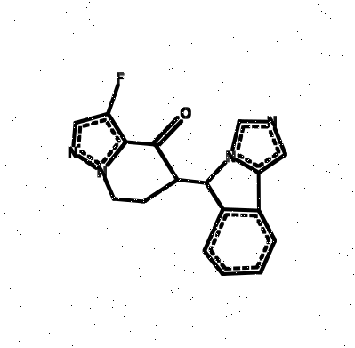 O=C1c2c(F)cnn2CCC1C1c2ccccc2-c2cncn21